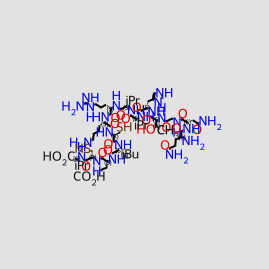 CC[C@H](C)[C@H](NC(=O)[C@H](CS)NC(=O)[C@H](CCCCN)NC(=O)[C@H](CCCNC(=N)N)NC(=O)[C@@H](NC(=O)[C@@H](NC(=O)[C@H](Cc1c[nH]cn1)NC(=O)[C@@H](NC(=O)CNC(=O)[C@H](CC(N)=O)NC(=O)[C@@H](N)CCC(N)=O)[C@@H](C)O)C(C)C)C(C)C)C(=O)N[C@@H](CCC(=O)O)C(=O)N[C@@H](CS)C(=O)N[C@H](C(=O)O)C(C)C